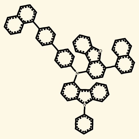 c1ccc(-n2c3ccccc3c3c(N(c4ccc(-c5ccc(-c6cccc7ccccc67)cc5)cc4)c4ccc(-c5cccc6ccccc56)c5oc6ccccc6c45)cccc32)cc1